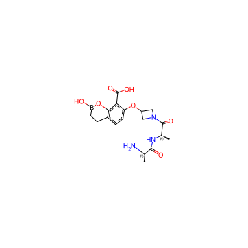 C[C@@H](N)C(=O)N[C@H](C)C(=O)N1CC(Oc2ccc3c(c2C(=O)O)OB(O)CC3)C1